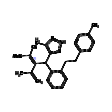 C=C(C)/C(=C(/C#N)NC)C(c1ccccc1CCc1ccc(C)cc1)c1c[nH]nc1C